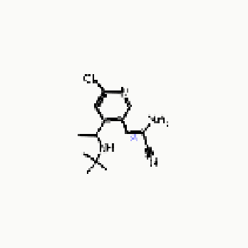 CC(NC(C)(C)C)c1cc(Cl)ncc1/C=C(\N)C#N